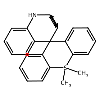 CS1(C)c2ccccc2C2(c3ccccc3Nc3ccccc32)c2ccccc21